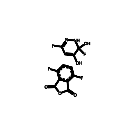 O=C1OC(=O)c2c(F)ccc(F)c21.OC1=CC(F)=NNC1(O)F